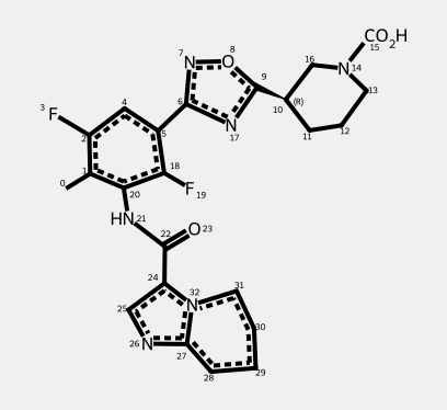 Cc1c(F)cc(-c2noc([C@@H]3CCCN(C(=O)O)C3)n2)c(F)c1NC(=O)c1cnc2ccccn12